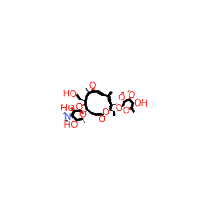 CC[C@H]1OC(=O)CC[C@H](C)[C@@H](O[C@@H]2O[C@H](C)[C@@H](O)C(N(C)C)C2O)[C@@H](CCO)C[C@@H](C)C(=O)/C=C/C(C)=C/[C@@H]1CO[C@@H]1OC(C)[C@@H](O)[C@H](OC)C1OC